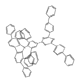 c1ccc(-c2ccc(-c3nc(-c4ccc(-c5ccccc5)cc4)nc(-c4cc(-c5ccccc5)c(-n5c6c(-c7ccccc7)c(-c7ccccc7)ccc6c6ccc(-c7ccccc7)c(-c7ccccc7)c65)c(-c5ccccc5)c4)n3)cc2)cc1